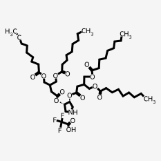 CCCCCCCCC(=O)OCC(COC(=O)CCCCCCCC)CC(=O)O[C@H]1CNC[C@H]1OC(=O)CC(COC(=O)CCCCCCCC)COC(=O)CCCCCCCC.O=C(O)C(F)(F)F